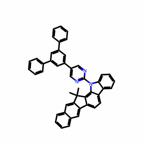 CC1(C)c2cc3ccccc3cc2-c2ccc3c4ccccc4n(-c4ncc(-c5cc(-c6ccccc6)cc(-c6ccccc6)c5)cn4)c3c21